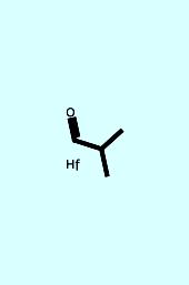 CC(C)C=O.[Hf]